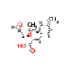 Cc1ccc(C=CC(=O)O)c([C@@H](C)OCC2CO2)c1